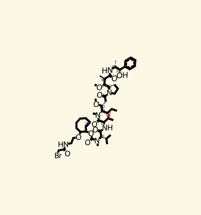 CC[C@H](C)[C@@H]([C@@H](CC(=O)N1CCC[C@H]1[C@H](OC)[C@@H](C)C(=O)N[C@H](C)[C@@H](O)c1ccccc1)OC)N(C)C(=O)[C@@H](NC(=O)[C@H](C(C)C)N(C)C(=O)OC1/C=C/CCCCC1OCCNC(=O)CBr)C(C)C